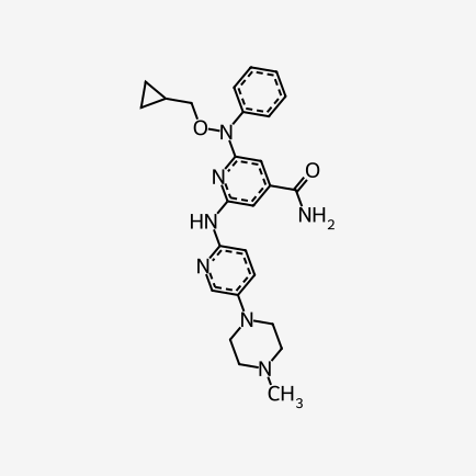 CN1CCN(c2ccc(Nc3cc(C(N)=O)cc(N(OCC4CC4)c4ccccc4)n3)nc2)CC1